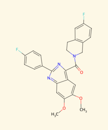 COc1cc2nc(-c3ccc(F)cc3)nc(C(=O)N3CCc4cc(F)ccc4C3)c2cc1OC